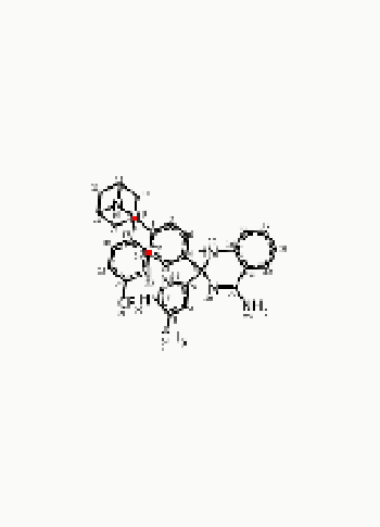 Cc1cc(C2(c3ccc(N4CC5CC(C4)N5Cc4ccc(C(F)(F)F)nc4)nc3)N=C(N)c3ccccc3N2)n[nH]1